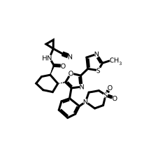 Cc1ncc(-c2nc(-c3ccccc3N3CCS(=O)(=O)CC3)c([C@@H]3CCCC[C@H]3C(=O)NC3(C#N)CC3)o2)s1